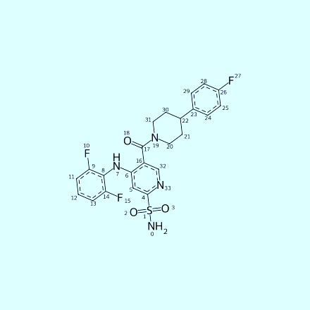 NS(=O)(=O)c1cc(Nc2c(F)cccc2F)c(C(=O)N2CCC(c3ccc(F)cc3)CC2)cn1